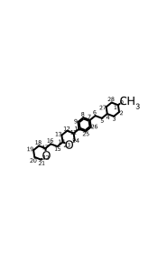 CC1CCC(CCc2ccc(C3CCC(CCC4CCCCO4)OC3)cc2)CC1